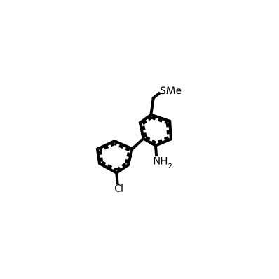 CSCc1ccc(N)c(-c2cccc(Cl)c2)c1